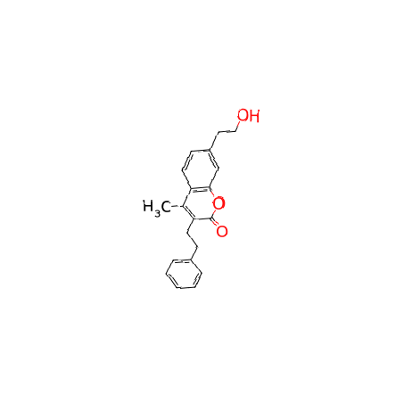 Cc1c(CCc2ccccc2)c(=O)oc2cc(CCO)ccc12